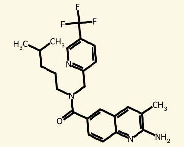 Cc1cc2cc(C(=O)N(CCCC(C)C)Cc3ccc(C(F)(F)F)cn3)ccc2nc1N